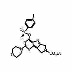 CCOC(=O)N1Cc2nc3c(OS(=O)(=O)c4ccc(C)cc4)nc(N4CCOCC4)sc-3c2C1